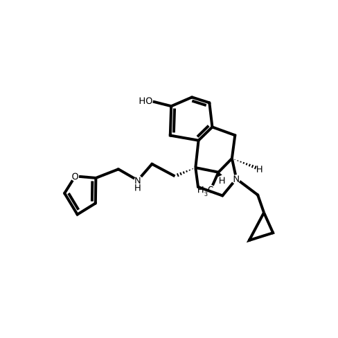 C[C@H]1[C@H]2Cc3ccc(O)cc3[C@]1(CCNCc1ccco1)CCN2CC1CC1